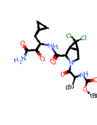 CC(C)(C)OC(=O)NC(C(=O)N1CC2C(C1C(=O)NC(CC1CC1)C(=O)C(N)=O)C2(Cl)Cl)C(C)(C)C